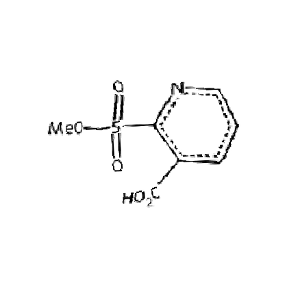 COS(=O)(=O)c1ncccc1C(=O)O